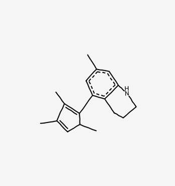 CC1=CC(C)C(c2cc(C)cc3c2CCCN3)=C1C